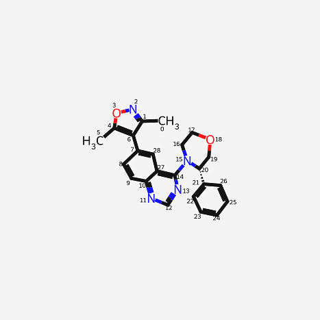 Cc1noc(C)c1-c1ccc2n[c]nc(N3CCOC[C@@H]3c3ccccc3)c2c1